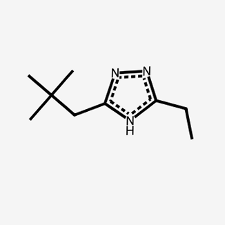 CCc1nnc(CC(C)(C)C)[nH]1